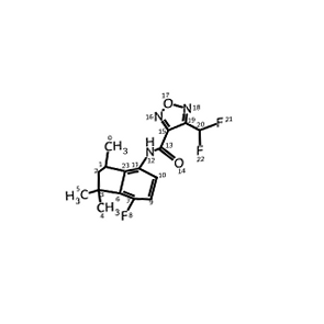 CC1CC(C)(C)c2c(F)ccc(NC(=O)c3nonc3C(F)F)c21